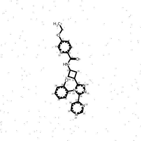 CCOc1ccc(C(=O)NC2CC(c3nnc(-c4ccncn4)n3-c3ccccc3Cl)C2)nc1